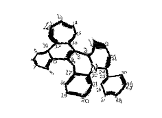 C1#CC2c3c(c4ccccc4c4ccccc34)-c3ccccc3N2C(c2ccccc2)=C1